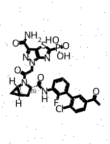 CC(=O)c1ccc(Cl)c(-c2cccc(NC(=O)[C@@H]3C[C@H]4C[C@H]4N3C(=O)Cn3nc(C(N)=O)c4sc(P(=O)(O)O)nc43)c2F)c1